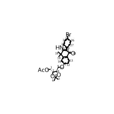 CC(=O)OC[C@H]1OC(C)(C)O[C@@H]1COc1ccc2c(c1)C(C)(C)c1[nH]c3cc(Br)ccc3c1C2=O